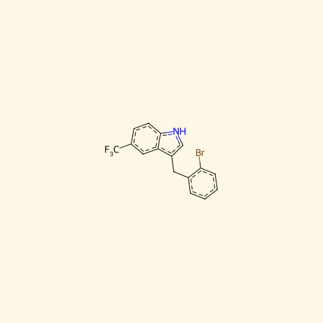 FC(F)(F)c1ccc2[nH]cc(Cc3ccccc3Br)c2c1